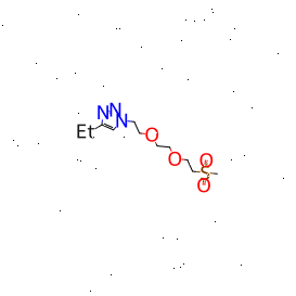 CCc1cn(CCOCCOCCS(C)(=O)=O)nn1